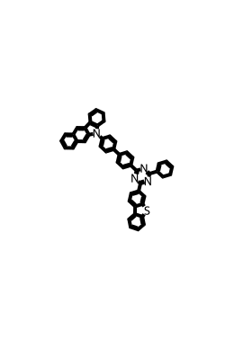 C1=CCCC(c2nc(-c3ccc(-c4ccc(-n5c6c(c7cc8ccccc8cc75)C=CCC6)cc4)cc3)nc(-c3ccc4c(c3)sc3ccccc34)n2)=C1